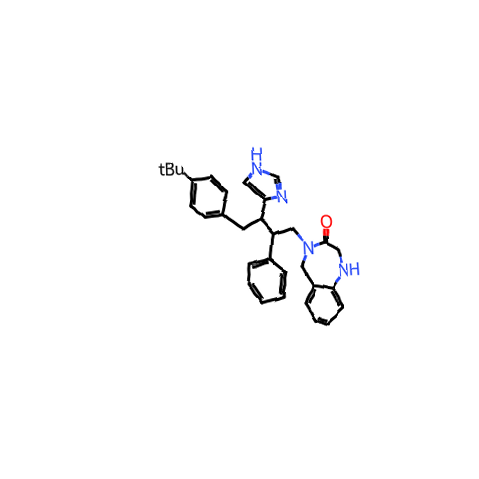 CC(C)(C)c1ccc(CC(c2c[nH]cn2)C(CN2Cc3ccccc3NCC2=O)c2ccccc2)cc1